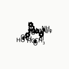 CC(=O)O.N=C(N)Nc1ccc(Cl)cc1-c1ccn(C(Cc2ccccc2)c2nc(-c3ccc(NC(=O)O)cc3)c[nH]2)c(=O)c1